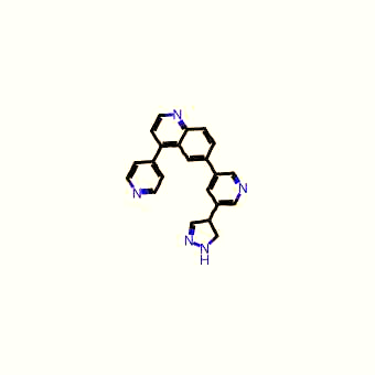 C1=NNCC1c1cncc(-c2ccc3nccc(-c4ccncc4)c3c2)c1